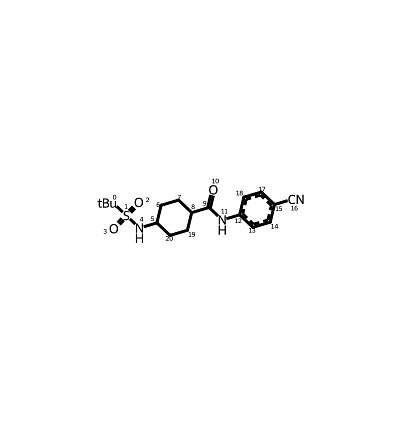 CC(C)(C)S(=O)(=O)NC1CCC(C(=O)Nc2ccc(C#N)cc2)CC1